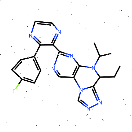 CCC1c2nncn2-c2cnc(-c3nccnc3-c3ccc(F)cc3)nc2N1C(C)C